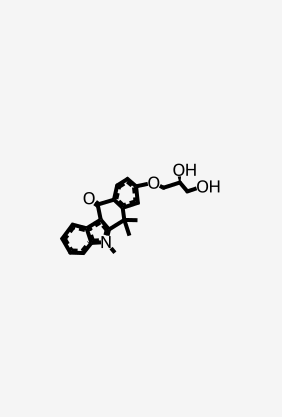 Cn1c2c(c3ccccc31)C(=O)c1ccc(OC[C@@H](O)CO)cc1C2(C)C